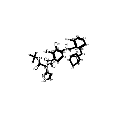 CC(C)(C)OC(=O)N(c1ccsn1)S(=O)(=O)c1ccc(NCc2c(F)cccc2CN2C3CCC2CC3)c(F)c1F